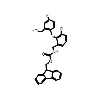 O=C(NCc1cccc(Cl)c1Sc1ccc(F)cc1CO)OCC1c2ccccc2-c2ccccc21